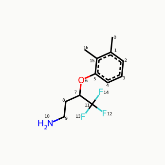 Cc1cccc(OC(CCN)C(F)(F)F)c1C